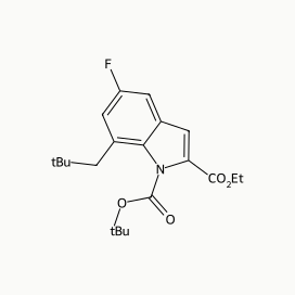 CCOC(=O)c1cc2cc(F)cc(CC(C)(C)C)c2n1C(=O)OC(C)(C)C